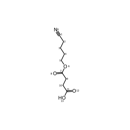 N#CCCCCOC(=O)CCC(=O)O